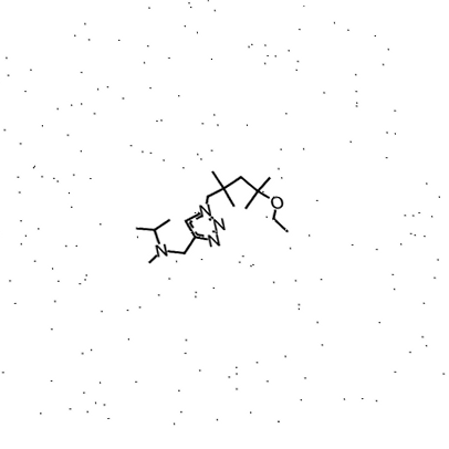 CCOC(C)(C)CC(C)(C)Cn1cc(CN(C)C(C)C)nn1